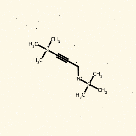 C[Si](C)(C)C#CC[N+][Si](C)(C)C